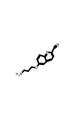 N#Cc1ccc2cc(OCCCN)ccc2n1